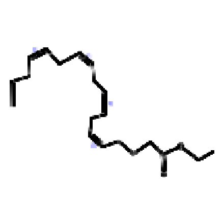 C=CC/C=C\C/C=C\C/C=C\C/C=C\CCCC(=O)OCC